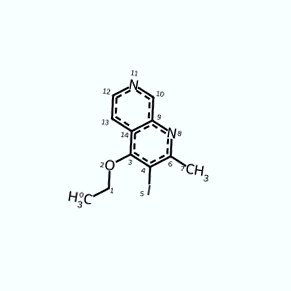 CCOc1c(I)c(C)nc2cnccc12